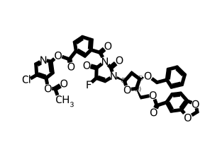 CC(=O)Oc1cc(OC(=O)c2cccc(C(=O)n3c(=O)c(F)cn([C@H]4C[C@H](OCc5ccccc5)[C@@H](COC(=O)c5ccc6c(c5)OCO6)O4)c3=O)c2)ncc1Cl